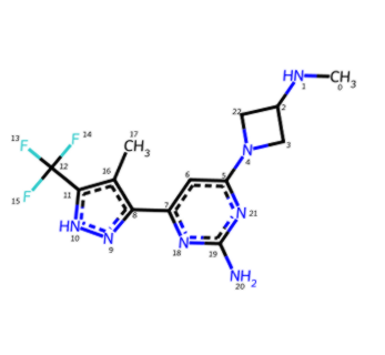 CNC1CN(c2cc(-c3n[nH]c(C(F)(F)F)c3C)nc(N)n2)C1